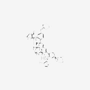 Fc1ccoc1Nc1cc(N2CCCCC2)ccc1C1=CC2=CC(c3ccc(CC4CCCCC4)cc3Nc3occc3F)=NC3=NC=NC(=N1)N23